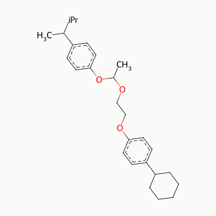 CC(OCCOc1ccc(C2CCCCC2)cc1)Oc1ccc(C(C)C(C)C)cc1